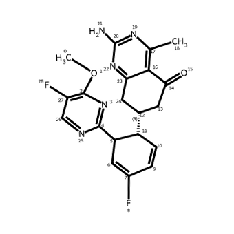 COc1nc(C2C=C(F)C=CC2[C@H]2CC(=O)c3c(C)nc(N)nc3C2)ncc1F